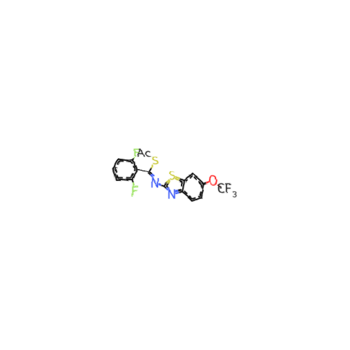 CC(=O)SC(=Nc1nc2ccc(OC(F)(F)F)cc2s1)c1c(F)cccc1F